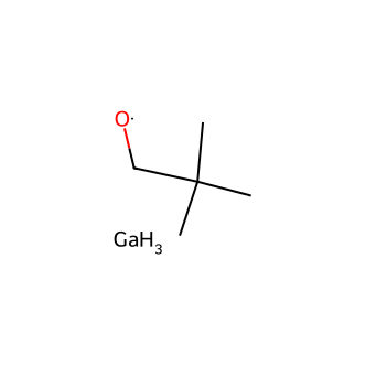 CC(C)(C)C[O].[GaH3]